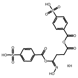 O=C(CC/C(=N/O)OC(=O)c1ccc(S(=O)(=O)O)cc1)OC(=O)c1ccc(S(=O)(=O)O)cc1.[KH]